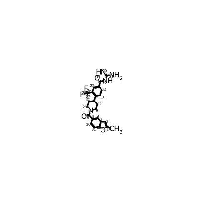 Cc1cc2cc(C(=O)N3CCC(c4ccc(C(=O)NC(=N)N)cc4C(F)(F)F)CC3)ccc2o1